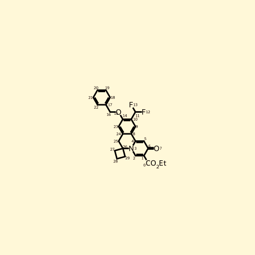 CCOC(=O)c1cn2c(cc1=O)-c1cc(C(F)F)c(OCc3ccccc3)cc1CC21CCC1